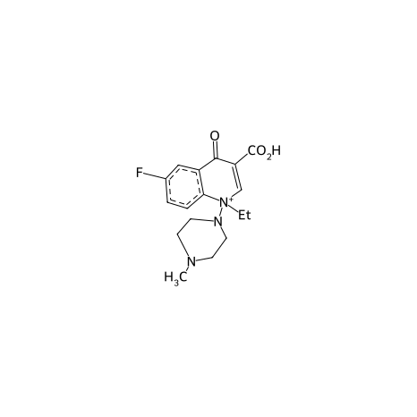 CC[N+]1(N2CCN(C)CC2)C=C(C(=O)O)C(=O)c2cc(F)ccc21